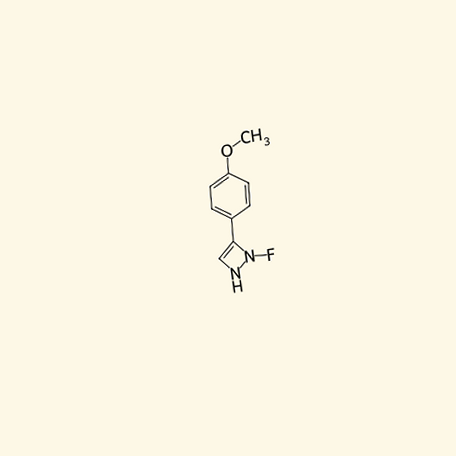 COc1ccc(-c2c[nH]n2F)cc1